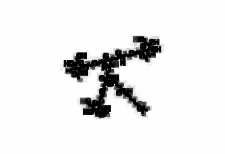 CC(=O)NC1C(OCCOCCNC(=O)CCC(NC(=O)CCC(NC(=O)CCCC(=O)NCCCCCCOC(C)(C)C)C(=O)NCCOCCOC2OC(CO)C(O)[C@@H](O)C2NC(C)=O)C(=O)NCCOCCOC2OC(CO)C(O)C(O)C2NC(C)=O)OC(CO)C(O)C1O